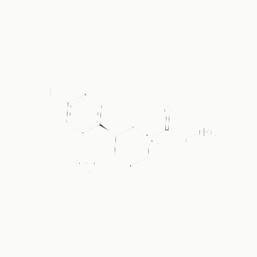 CC(C)(C)OC(=O)N1CC[C@H](C(=O)O)[C@@H](c2ccc(F)cc2)C1